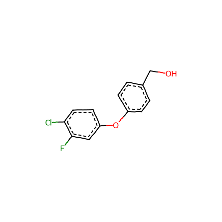 OCc1ccc(Oc2ccc(Cl)c(F)c2)cc1